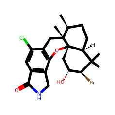 C[C@H]1CC[C@H]2C(C)(C)[C@@H](Br)[C@H](O)C[C@]23Oc2c(c(Cl)cc4c2CNC4=O)C[C@]13C